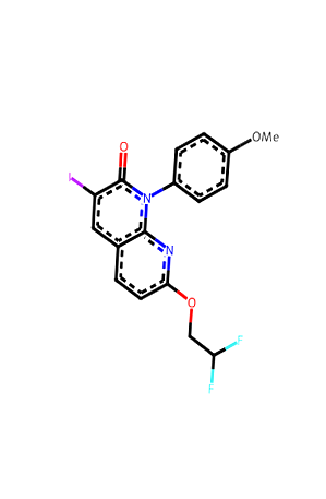 COc1ccc(-n2c(=O)c(I)cc3ccc(OCC(F)F)nc32)cc1